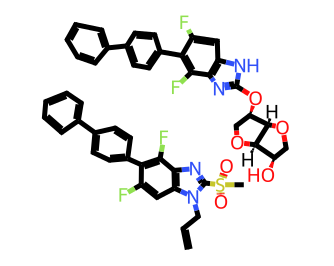 C=CCn1c(S(C)(=O)=O)nc2c(F)c(-c3ccc(-c4ccccc4)cc3)c(F)cc21.O[C@@H]1CO[C@H]2[C@@H]1OC[C@H]2Oc1nc2c(F)c(-c3ccc(-c4ccccc4)cc3)c(F)cc2[nH]1